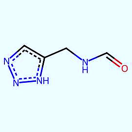 O=CNCc1cnn[nH]1